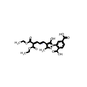 CCOC(=O)C(=C/C=C/c1c(C)nn(-c2cc(C(=O)O)ccc2C(=O)O)c1O)C(=O)OCC